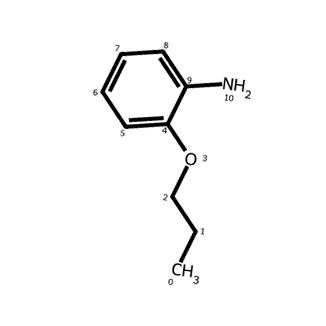 CCCOc1ccccc1N